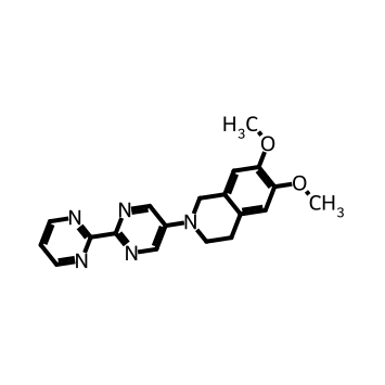 COc1cc2c(cc1OC)CN(c1cnc(-c3ncccn3)nc1)CC2